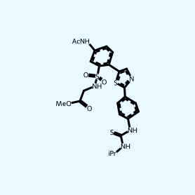 COC(=O)CNS(=O)(=O)c1cc(NC(C)=O)ccc1-c1cnc(-c2ccc(NC(=S)NC(C)C)cc2)s1